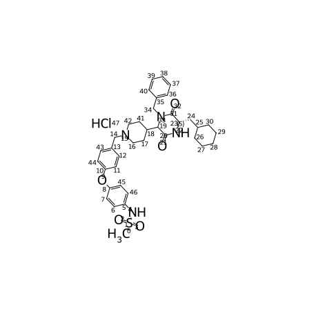 CS(=O)(=O)Nc1ccc(Oc2ccc(CN3CCC(C4C(=O)N[C@@H](CC5CCCCC5)C(=O)N4Cc4ccccc4)CC3)cc2)cc1.Cl